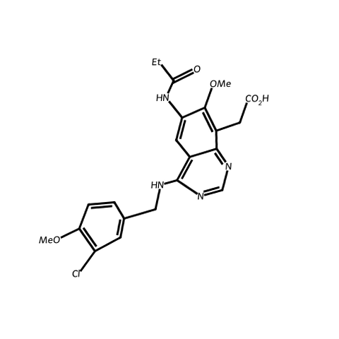 CCC(=O)Nc1cc2c(NCc3ccc(OC)c(Cl)c3)ncnc2c(CC(=O)O)c1OC